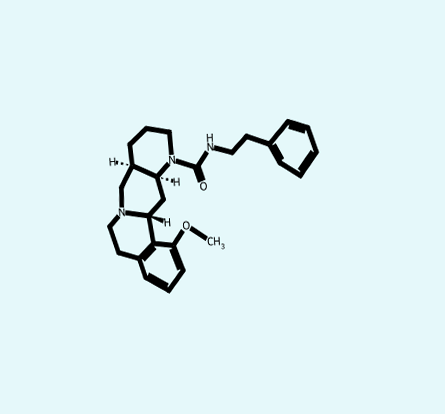 COc1cccc2c1[C@H]1C[C@H]3[C@H](CCCN3C(=O)NCCc3ccccc3)CN1CC2